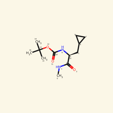 CNC(=O)[C@H](CC1CC1)NC(=O)OC(C)(C)C